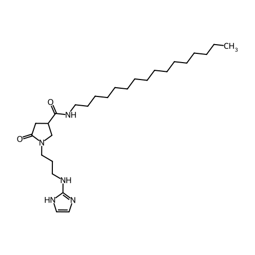 CCCCCCCCCCCCCCCCNC(=O)C1CC(=O)N(CCCNc2ncc[nH]2)C1